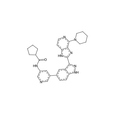 O=C(Nc1cncc(-c2ccc3[nH]nc(-c4nc5c(N6CCCCC6)nccc5[nH]4)c3c2)c1)C1CCCC1